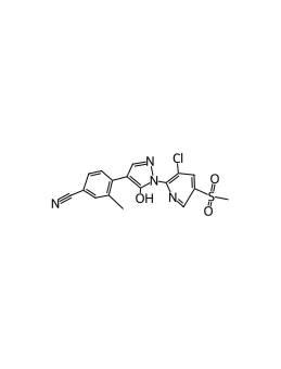 Cc1cc(C#N)ccc1-c1cnn(-c2ncc(S(C)(=O)=O)cc2Cl)c1O